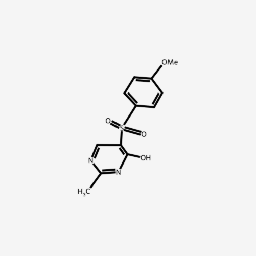 COc1ccc(S(=O)(=O)c2cnc(C)nc2O)cc1